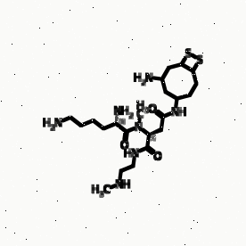 CNCCNC(=O)[C@H](CC(=O)NC1CCC2SSC2CC(N)C1)N(C)C(=O)[C@@H](N)CCCCN